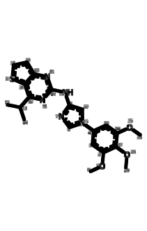 COc1cc(-n2cnc(Nc3nc(C(C)C)c4sccc4n3)c2)cc(OC)c1OC